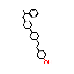 C[C@H](CC1CCC(C2CCC(CCC3CCC(O)CC3)CC2)CC1)c1ccccc1